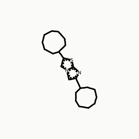 c1c(C2CCCCCCCC2)nc2sc(C3CCCCCCCC3)cn12